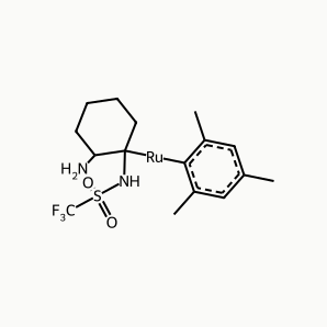 Cc1cc(C)[c]([Ru][C]2(NS(=O)(=O)C(F)(F)F)CCCCC2N)c(C)c1